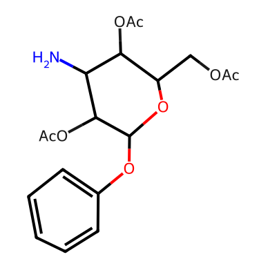 CC(=O)OCC1OC(Oc2ccccc2)C(OC(C)=O)C(N)C1OC(C)=O